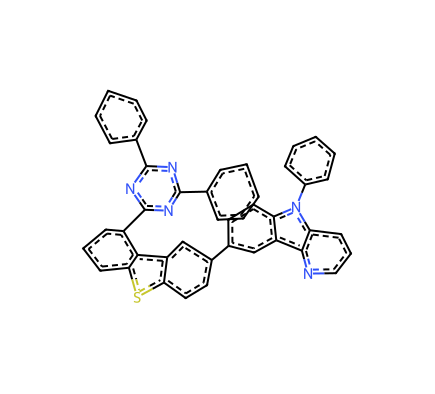 c1ccc(-c2nc(-c3ccccc3)nc(-c3cccc4sc5ccc(-c6ccc7c(c6)c6ncccc6n7-c6ccccc6)cc5c34)n2)cc1